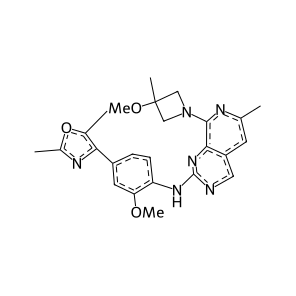 COc1cc(-c2nc(C)oc2C)ccc1Nc1ncc2cc(C)nc(N3CC(C)(OC)C3)c2n1